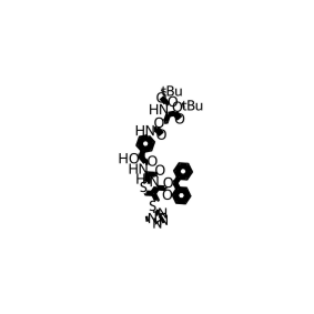 Cn1nnnc1SCC1=C(C(=O)OC(c2ccccc2)c2ccccc2)N2C(=O)[C@@H](NC(=O)[C@H](O)c3ccc(NC(=O)OCC(NC(=O)OC(C)(C)C)C(=O)OC(C)(C)C)cc3)[C@H]2SC1